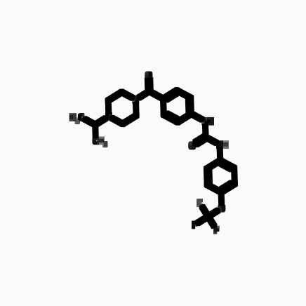 CC(C)N1CCN(C(=O)c2ccc(NC(=O)Nc3ccc(OC(F)(F)F)cc3)cc2)CC1